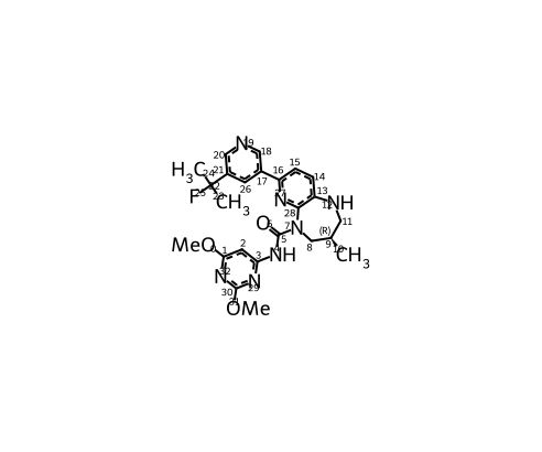 COc1cc(NC(=O)N2C[C@H](C)CNc3ccc(-c4cncc(C(C)(C)F)c4)nc32)nc(OC)n1